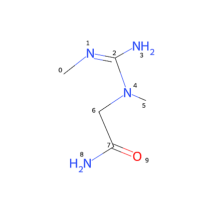 CN=C(N)N(C)CC(N)=O